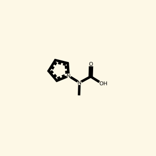 CN(C(=O)O)n1cccc1